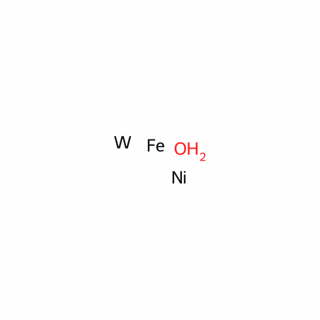 O.[Fe].[Ni].[W]